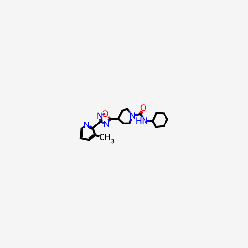 Cc1cccnc1-c1noc(C2CCN(C(=O)NC3CCCCC3)CC2)n1